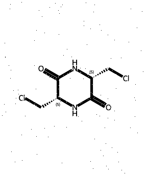 O=C1N[C@H](CCl)C(=O)N[C@@H]1CCl